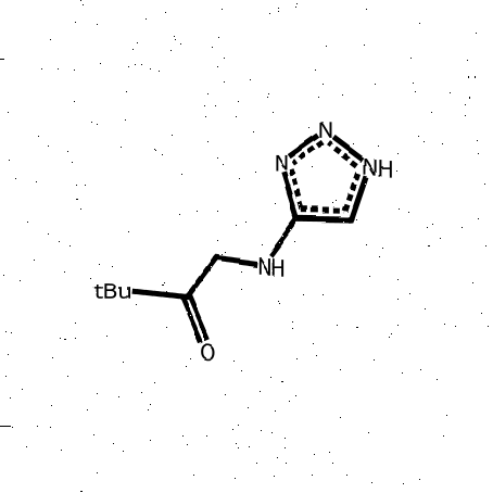 CC(C)(C)C(=O)CNc1c[nH]nn1